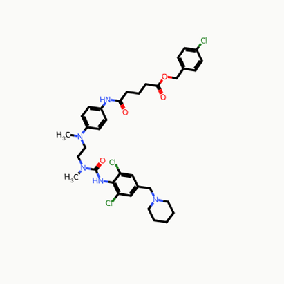 CN(CCN(C)c1ccc(NC(=O)CCCC(=O)OCc2ccc(Cl)cc2)cc1)C(=O)Nc1c(Cl)cc(CN2CCCCC2)cc1Cl